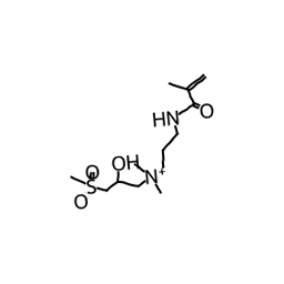 C=C(C)C(=O)NCCC[N+](C)(C)CC(O)CS(C)(=O)=O